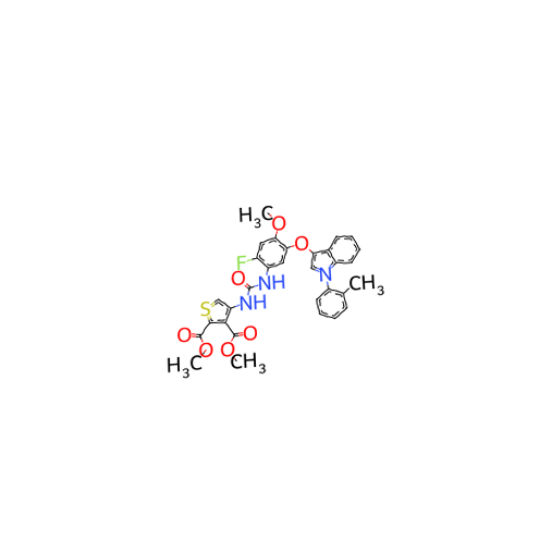 COC(=O)c1scc(NC(=O)Nc2cc(Oc3cn(-c4ccccc4C)c4ccccc34)c(OC)cc2F)c1C(=O)OC